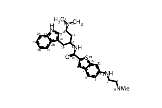 CNCCNc1ccc2cc(C(=O)NC(CCN(C)C)Cc3c[nH]c4ccccc34)sc2c1